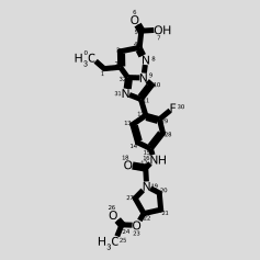 CCc1cc(C(=O)O)nn2cc(-c3ccc(NC(=O)N4CCC(OC(C)=O)C4)cc3F)nc12